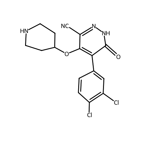 N#Cc1n[nH]c(=O)c(-c2ccc(Cl)c(Cl)c2)c1OC1CCNCC1